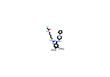 COc1cc2nc(NCCCCCNC(=O)CCl)nc(NC3CCN(C4CCCC4)CC3)c2cc1OC